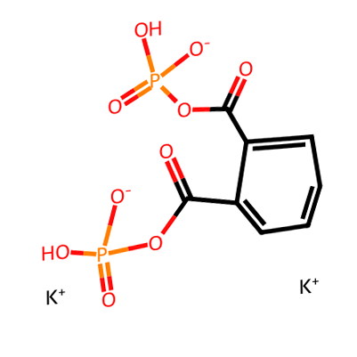 O=C(OP(=O)([O-])O)c1ccccc1C(=O)OP(=O)([O-])O.[K+].[K+]